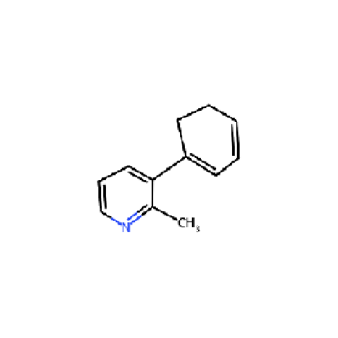 Cc1ncccc1C1=CC=CCC1